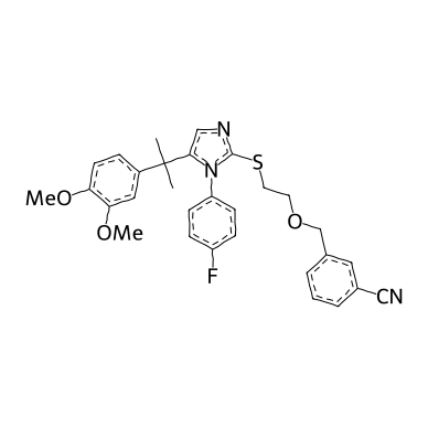 COc1ccc(C(C)(C)c2cnc(SCCOCc3cccc(C#N)c3)n2-c2ccc(F)cc2)cc1OC